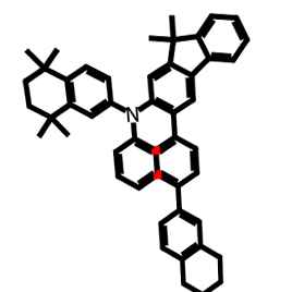 CC1(C)CCC(C)(C)c2cc(N(c3ccccc3)c3cc4c(cc3-c3ccc(-c5ccc6c(c5)CCCC6)cc3)-c3ccccc3C4(C)C)ccc21